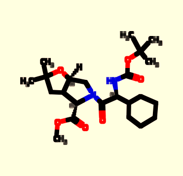 COC(=O)[C@@H]1C2CC(C)(C)O[C@H]2CN1C(=O)[C@@H](NC(=O)OC(C)(C)C)C1CCCCC1